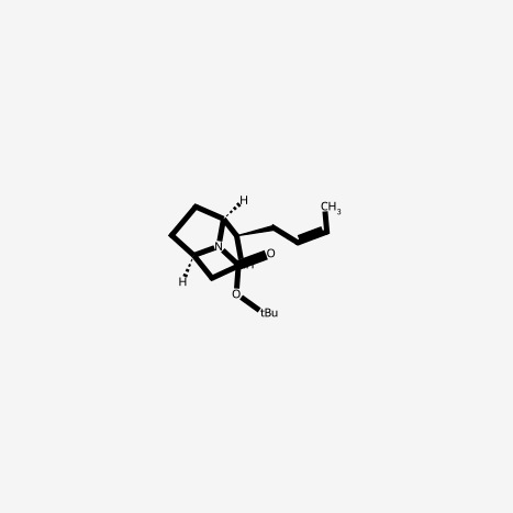 C/C=C\C[C@H]1NC[C@H]2CC[C@@H]1N2C(=O)OC(C)(C)C